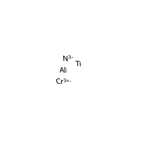 [Al].[Cr+3].[N-3].[Ti]